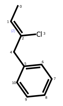 [CH2]/C=C(\Cl)Cc1ccccc1